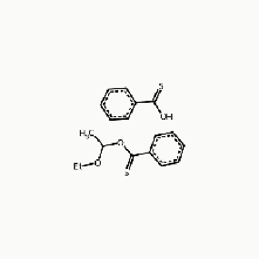 CCOC(C)OC(=S)c1ccccc1.OC(=S)c1ccccc1